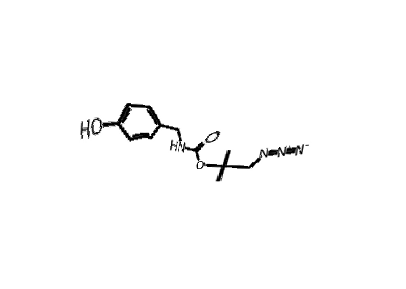 CC(C)(CN=[N+]=[N-])OC(=O)NCc1ccc(O)cc1